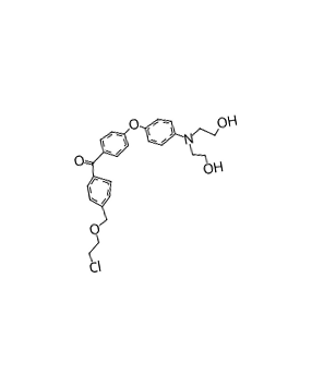 O=C(c1ccc(COCCCl)cc1)c1ccc(Oc2ccc(N(CCO)CCO)cc2)cc1